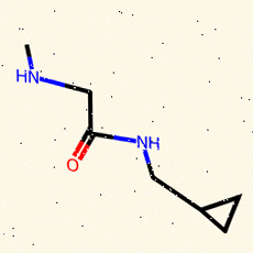 CNCC(=O)NCC1CC1